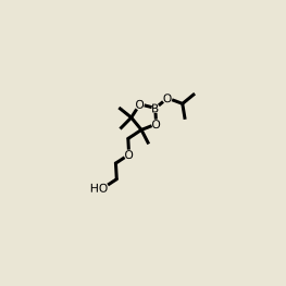 CC(C)OB1OC(C)(C)C(C)(COCCO)O1